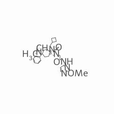 COc1nccc(NC(=O)CN2C[C@]3(CC[C@@](c4ccccc4)(N(C)C)CC3)N(CC3CCC3)C2=O)n1